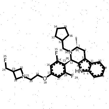 C[C@@H]1Cc2c([nH]c3ccccc23)[C@@H](c2c(F)cc(OCCN3CC(CF)C3)cc2F)N1CC1CCCC1